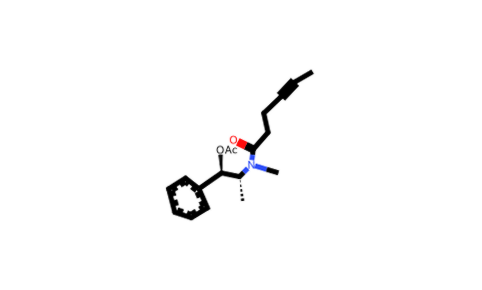 CC#CCCC(=O)N(C)[C@H](C)[C@H](OC(C)=O)c1ccccc1